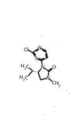 CC(C)[C@H]1CN(C)C(=O)N1c1ccnc(Cl)n1